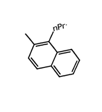 CC[CH]c1c(C)ccc2ccccc12